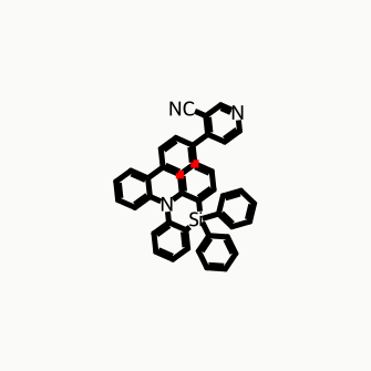 N#Cc1cnccc1-c1ccc(-c2ccccc2N2c3ccccc3[Si](c3ccccc3)(c3ccccc3)c3ccccc32)cc1